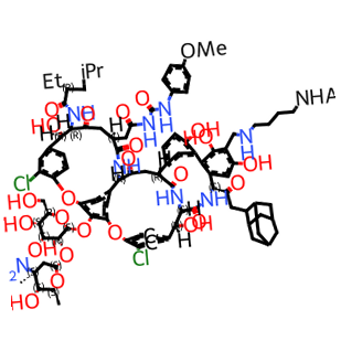 CC[C@H](CC(C)C)C(=O)N[C@H]1C(=O)C[C@@H](CC(=O)NC(=O)Nc2ccc(OC)cc2)C(=O)N[C@H]2C(=O)C[C@H]3C(=O)N[C@H](C(=O)N[C@H](C(=O)CC4C5CC6CC(C5)CC4C6)c4cc(O)c(CNCCCCNC(C)=O)c(O)c4-c4cc3ccc4O)[C@H](O)c3ccc(c(Cl)c3)Oc3cc2cc(c3O[C@@H]2O[C@H](CO)[C@@H](O)[C@H](O)[C@H]2O[C@H]2C[C@](C)(N)[C@H](O)[C@H](C)O2)Oc2ccc(cc2Cl)[C@H]1O